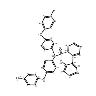 Cc1ccc(Oc2ccc(C(c3ccc(Oc4ccc(N)cc4)cc3)P3(=O)Oc4ccccc4-c4ccccc43)cc2)cc1